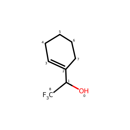 OC(C1=CCCCC1)C(F)(F)F